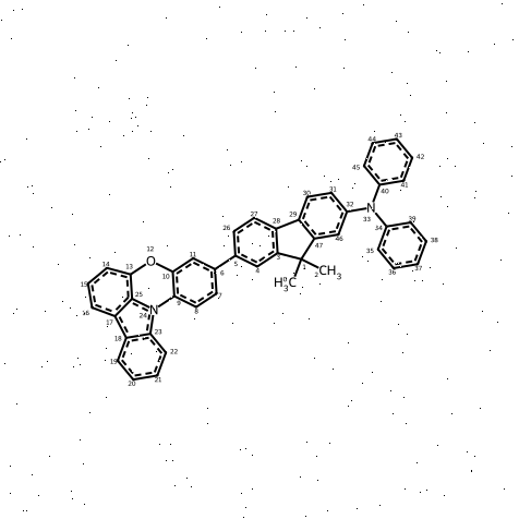 CC1(C)c2cc(-c3ccc4c(c3)Oc3cccc5c6ccccc6n-4c35)ccc2-c2ccc(N(c3ccccc3)c3ccccc3)cc21